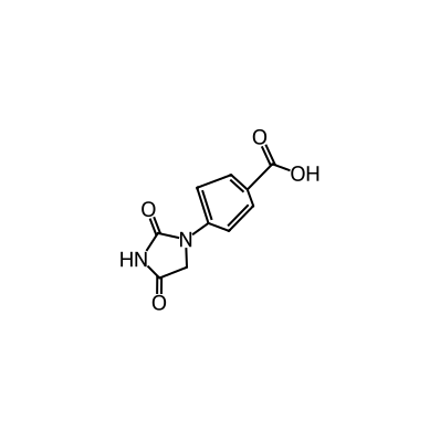 O=C1CN(c2ccc(C(=O)O)cc2)C(=O)N1